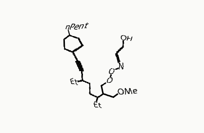 CCCCCC1CCC(C#CC(CC)CCC(CC)C(COC)COO/N=C/CO)CC1